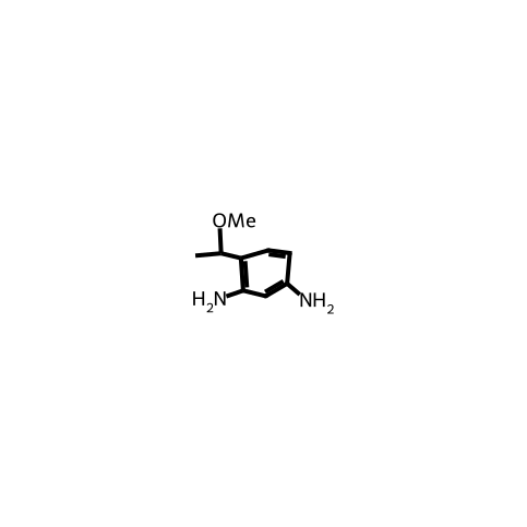 COC(C)c1ccc(N)cc1N